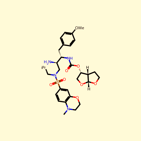 COc1ccc(C[C@H](NC(=O)O[C@H]2CO[C@H]3OCC[C@H]32)[C@H](N)CN(CC(C)C)S(=O)(=O)c2ccc3c(c2)OCCN3C)cc1